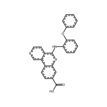 O=C(O)c1ccc2c(c1)nc(Nc1ccccc1Oc1ccccc1)c1ccncc12